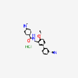 CCOc1ccc(-c2cccc(C#N)c2)cc1CNC(=O)C1CCC(NC)CC1.Cl